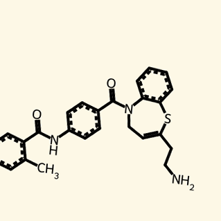 Cc1ccccc1C(=O)Nc1ccc(C(=O)N2CC=C(CCN)Sc3ccccc32)cc1